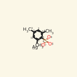 Cc1cc(C)c(S(=O)(=O)[O-])c(C)c1.[Ag+]